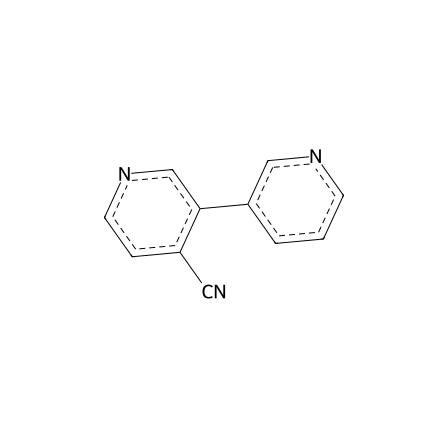 N#Cc1ccncc1-c1cccnc1